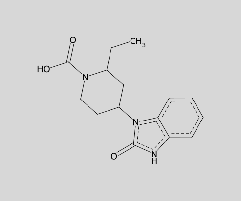 CCC1CC(n2c(=O)[nH]c3ccccc32)CCN1C(=O)O